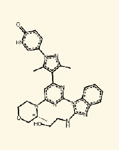 Cc1nn(-c2ccc(=O)[nH]c2)c(C)c1-c1cc(N2CCOC[C@H]2C)nc(-n2c(NCCO)nc3ccccc32)n1